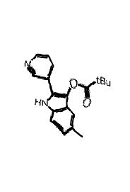 Cc1ccc2[nH]c(-c3cccnc3)c(OC(=O)C(C)(C)C)c2c1